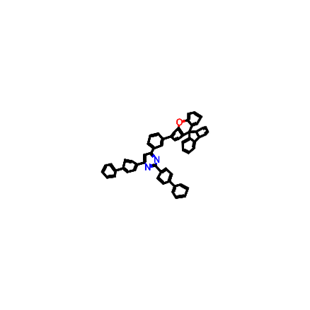 C1=CC2c3ccccc3C3(c4ccccc4Oc4cc(-c5cccc(-c6cc(-c7ccc(-c8ccccc8)cc7)nc(-c7ccc(-c8ccccc8)cc7)n6)c5)ccc43)C2C=C1